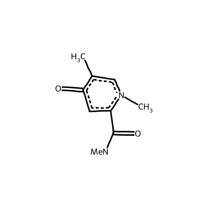 CNC(=O)c1cc(=O)c(C)cn1C